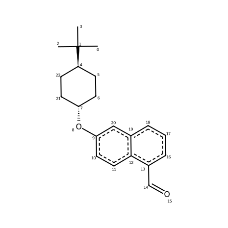 CC(C)(C)[C@H]1CC[C@H](Oc2ccc3c(C=O)cccc3c2)CC1